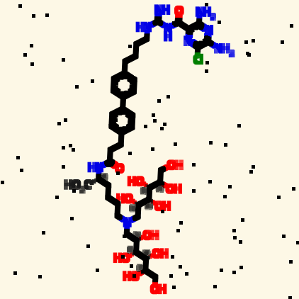 N=C(NCCCCc1ccc(-c2ccc(CCC(=O)N[C@H](CCCCN(C[C@H](O)[C@@H](O)[C@H](O)[C@H](O)CO)C[C@H](O)[C@@H](O)[C@H](O)[C@H](O)CO)C(=O)O)cc2)cc1)NC(=O)c1nc(Cl)c(N)nc1N